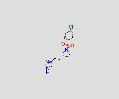 O=S(=O)(c1ccc(Cl)cc1)N1CCC(CCc2c[nH]cn2)C1